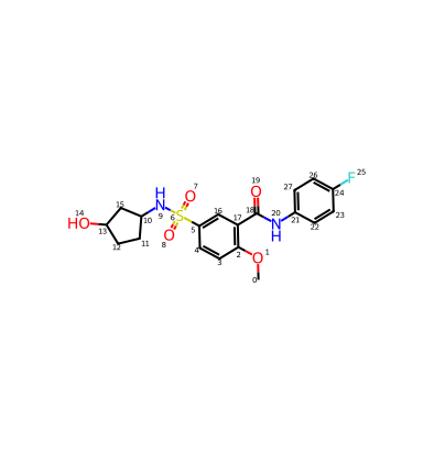 COc1ccc(S(=O)(=O)NC2CCC(O)C2)cc1C(=O)Nc1ccc(F)cc1